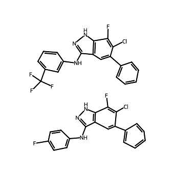 Fc1c(Cl)c(-c2ccccc2)cc2c(Nc3cccc(C(F)(F)F)c3)n[nH]c12.Fc1ccc(Nc2n[nH]c3c(F)c(Cl)c(-c4ccccc4)cc23)cc1